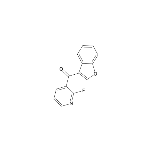 O=C(c1cccnc1F)c1coc2ccccc12